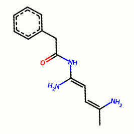 C/C(N)=C/C=C(\N)NC(=O)Cc1ccccc1